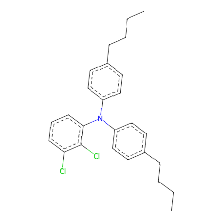 CCCCc1ccc(N(c2ccc(CCCC)cc2)c2cccc(Cl)c2Cl)cc1